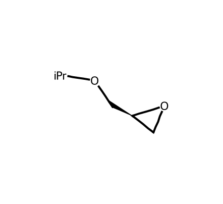 CC(C)OC[C@@H]1CO1